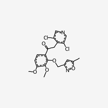 COc1ccc(C(=O)Cc2c(Cl)cncc2Cl)c(OCc2cc(C)on2)c1OC